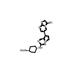 CCc1cnc2ncc(-c3ccn4nc(N[C@H]5CC[C@H](NC)CC5)ncc34)cn12